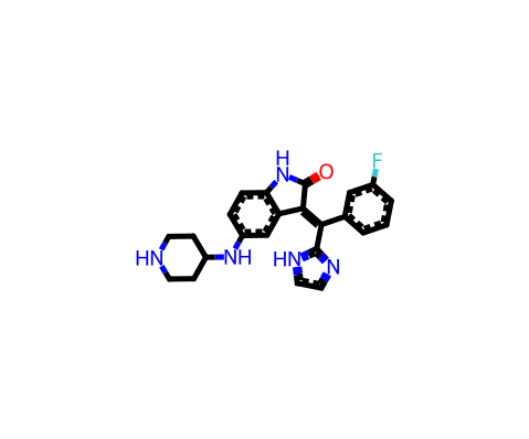 O=C1Nc2ccc(NC3CCNCC3)cc2C1=C(c1cccc(F)c1)c1ncc[nH]1